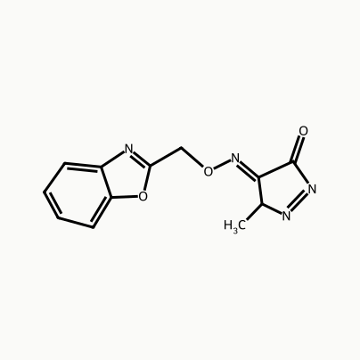 CC1N=NC(=O)C1=NOCc1nc2ccccc2o1